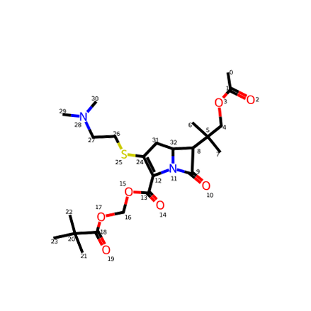 CC(=O)OCC(C)(C)C1C(=O)N2C(C(=O)OCOC(=O)C(C)(C)C)=C(SCCN(C)C)CC12